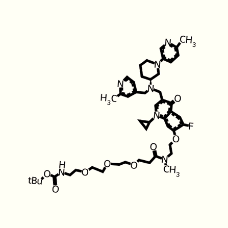 Cc1ccc(N2CCC[C@H](N(Cc3ccnc(C)c3)Cc3cn(C4CC4)c4cc(OCCN(C)C(=O)CCOCCOCCOCCNC(=O)OC(C)(C)C)c(F)cc4c3=O)C2)cn1